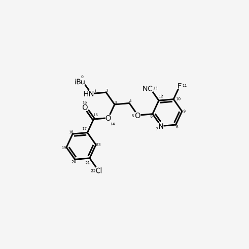 CCC(C)NCC(COc1nccc(F)c1C#N)OC(=O)c1cccc(Cl)c1